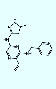 C=Cc1ncc(NC2=NNC(C)C2)nc1NCc1cccnc1